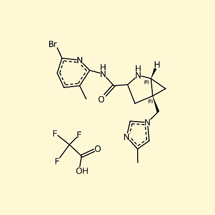 Cc1cn(C[C@@]23CC(C(=O)Nc4nc(Br)ccc4C)N[C@@H]2C3)cn1.O=C(O)C(F)(F)F